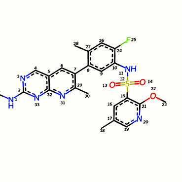 CNc1ncc2cc(-c3cc(NS(=O)(=O)c4cc(C)cnc4OC)c(F)cc3C)c(C)nc2n1